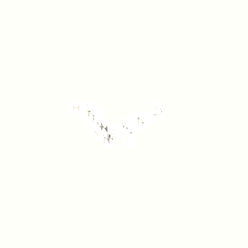 CN1CCN(c2ccc3nnc(CCC(=O)NC4CCN(CCc5ccccc5)CC4)n3n2)CC1